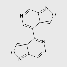 c1cc2nocc2c(-c2cncc3nocc23)n1